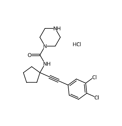 Cl.O=C(NC1(C#Cc2ccc(Cl)c(Cl)c2)CCCC1)N1CCNCC1